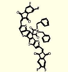 O=C1C(=Cc2cc3sc4c(c3s2)C(C(=O)OCc2ccccc2)(C(=O)OCc2ccccc2)c2c-4sc3cc(C=C4C(=O)c5cc(F)c(F)cc5C4=O)sc23)C(=O)c2cc(F)c(F)cc21